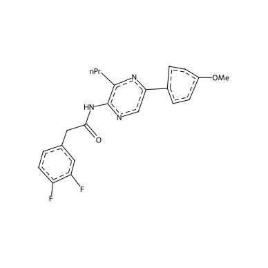 CCCc1nc(-c2ccc(OC)cc2)cnc1NC(=O)Cc1ccc(F)c(F)c1